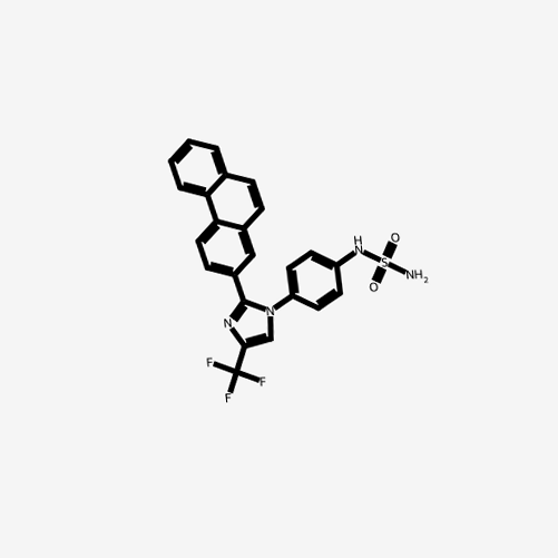 NS(=O)(=O)Nc1ccc(-n2cc(C(F)(F)F)nc2-c2ccc3c(ccc4ccccc43)c2)cc1